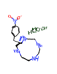 Cl.Cl.Cl.O=[N+]([O-])c1ccc(CC2CNCCNCCNCCN2)cc1